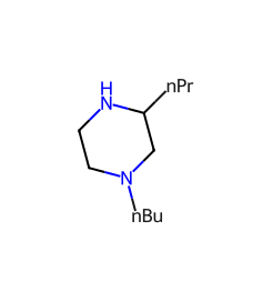 [CH2]CCCN1CCNC(CCC)C1